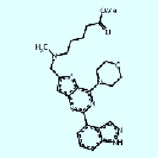 COC(=O)CCCCN(C)Cc1cc2nc(-c3cccc4[nH]ncc34)nc(N3CCOCC3)c2s1